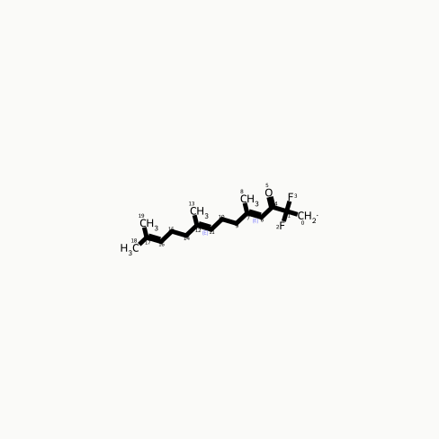 [CH2]C(F)(F)C(=O)/C=C(\C)CC/C=C(\C)CCC=C(C)C